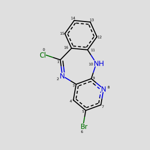 ClC1=Nc2cc(Br)cnc2Nc2ccccc21